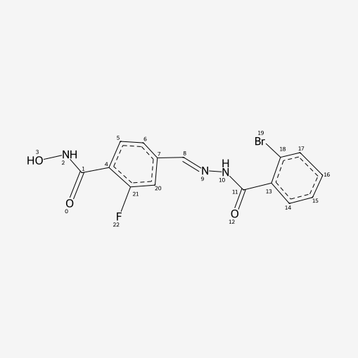 O=C(NO)c1ccc(/C=N/NC(=O)c2ccccc2Br)cc1F